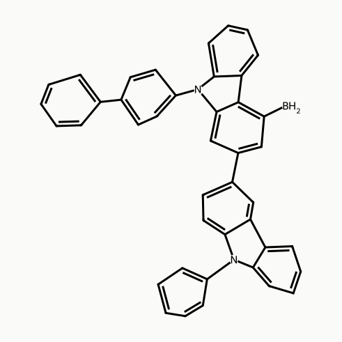 Bc1cc(-c2ccc3c(c2)c2ccccc2n3-c2ccccc2)cc2c1c1ccccc1n2-c1ccc(-c2ccccc2)cc1